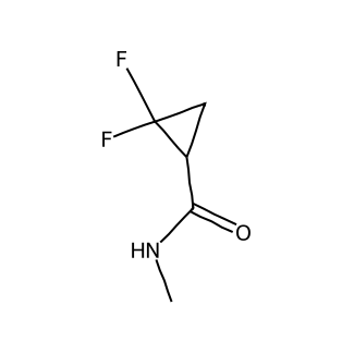 CNC(=O)C1CC1(F)F